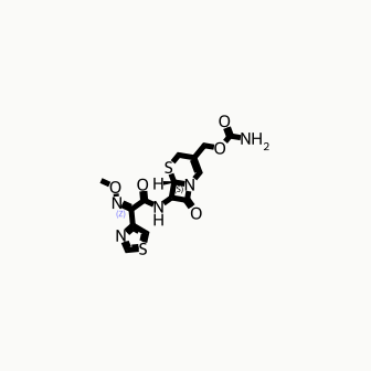 CO/N=C(\C(=O)NC1C(=O)N2C=C(COC(N)=O)CS[C@@H]12)c1cscn1